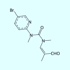 C/C(C=O)=C/N(C)C(=O)N(C)c1ccc(Br)cn1